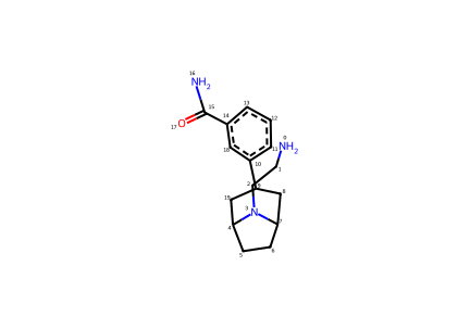 NCCN1C2CCC1CC(c1cccc(C(N)=O)c1)C2